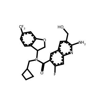 Nc1nc2cc(F)c(C(=O)N(CC3CCC3)C3COc4cc(C(F)(F)F)ccc43)cc2cc1CO